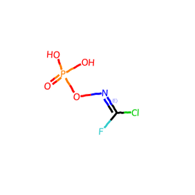 O=P(O)(O)O/N=C(\F)Cl